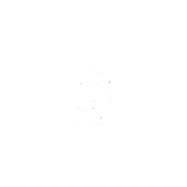 CC(=O)c1cnc2ccc(-c3cc(Cl)c(O)c(Cl)c3)nc2c1NC1CCC(CO)CC1